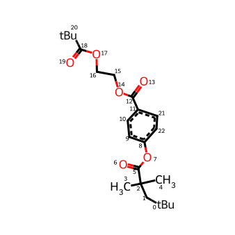 CC(C)(C)CC(C)(C)C(=O)Oc1ccc(C(=O)OCCOC(=O)C(C)(C)C)cc1